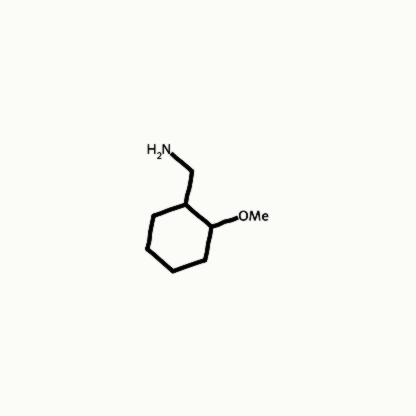 COC1CCCCC1CN